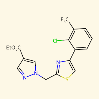 CCOC(=O)c1cnn(Cc2nc(-c3cccc(C(F)(F)F)c3Cl)cs2)c1